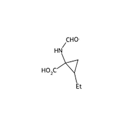 CCC1CC1(N[C]=O)C(=O)O